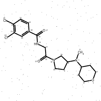 CN(C1CCOCC1)C1CCN(C(=O)CNC(=O)c2ccc(Cl)c(Cl)c2)C1